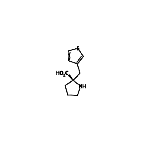 O=C(O)[C@]1(Cc2ccsc2)CCCN1